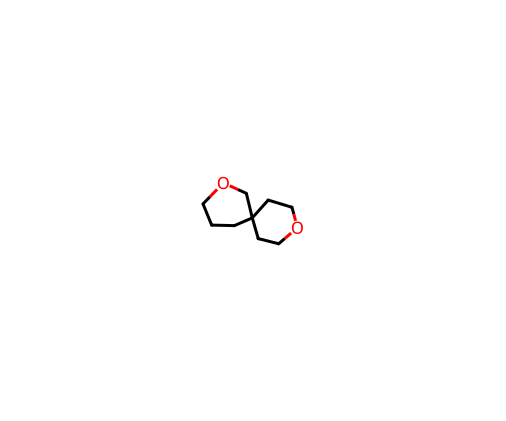 C1COCC2(C1)CCOCC2